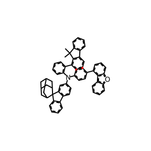 CC1(C)c2ccccc2-c2cccc(-c3ccccc3N(c3ccc(-c4cccc5oc6ccccc6c45)cc3)c3ccc4c(c3)C3(c5ccccc5-4)C4CC5CC(C4)CC3C5)c21